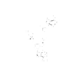 COP(=O)(S)OC[C@H]1O[C@@H](n2cnc3c(N)ncnc32)[C@H](F)[C@@H]1OP(=O)(S)OC[C@@H]1C[C@@H](F)[C@H](n2cnc3c(N)ncnc32)O1